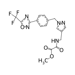 COC(=O)C(=O)NCc1cnn(Cc2ccc(-c3noc(C(F)(F)F)n3)cc2)c1